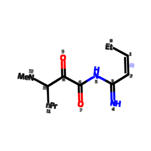 CC/C=C\C(=N)NC(=O)C(=O)C(CCC)NC